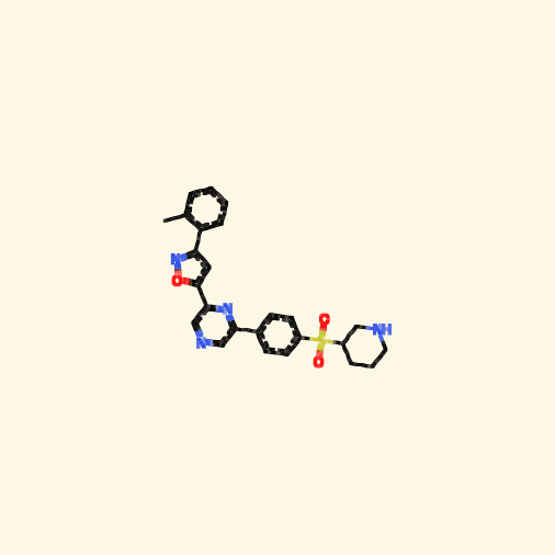 Cc1ccccc1-c1cc(-c2cncc(-c3ccc(S(=O)(=O)C4CCCNC4)cc3)n2)on1